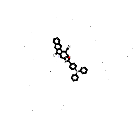 N#CC(C#N)=C1/C(=C\c2ccc(-c3ccc(N(c4ccccc4)c4ccccc4)cc3)s2)C(=O)c2cc3ccccc3cc21